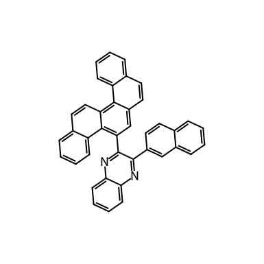 c1ccc2cc(-c3nc4ccccc4nc3-c3cc4ccc5ccccc5c4c4ccc5ccccc5c34)ccc2c1